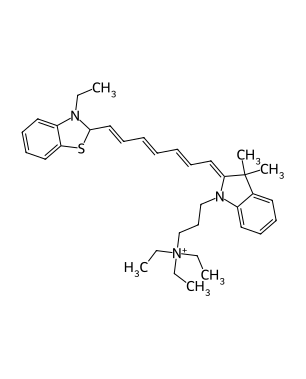 CCN1c2ccccc2SC1C=CC=CC=CC=C1N(CCC[N+](CC)(CC)CC)c2ccccc2C1(C)C